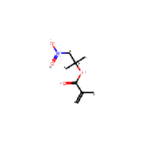 C=C(C)C(=O)OC(C)(C)C[N+](=O)[O-]